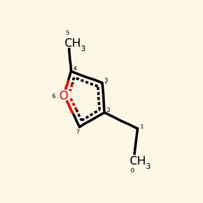 CCc1[c]c(C)oc1